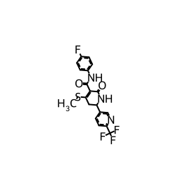 CSC1=C(C(=O)Nc2ccc(F)cc2)C(=O)NC(c2ccc(C(F)(F)F)nc2)C1